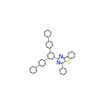 c1ccc(-c2ccc(-c3cc(-c4ccc(-c5ccccc5)cc4)cc(-c4nc(-c5ccccc5)c5sc6ccccc6c5n4)c3)cc2)cc1